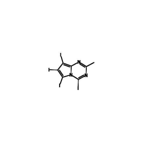 Cc1nc(I)n2c(I)c(I)c(I)c2n1